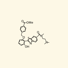 COC(=O)c1ccc(COc2cccc(O)c2-c2nc3ccc(C(=O)N(C)CCN(C)C)cc3s2)cc1